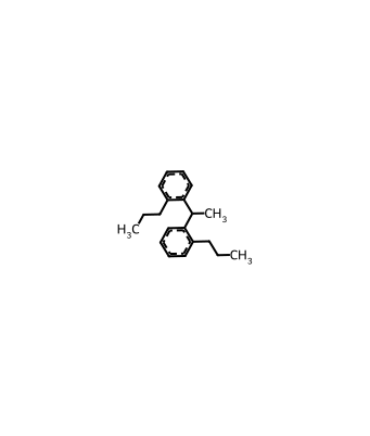 CCCc1ccccc1C(C)c1ccccc1CCC